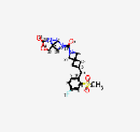 CS(=O)(=O)c1cc(F)ccc1CC1CC2(C1)CN(C(=O)N1CC3(COC(=O)N3)C1)C2